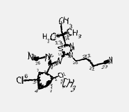 COc1ccc(Cl)cc1C(/N=c1\sc(C(C)(C)C)nn1CCCC#N)=N\C#N